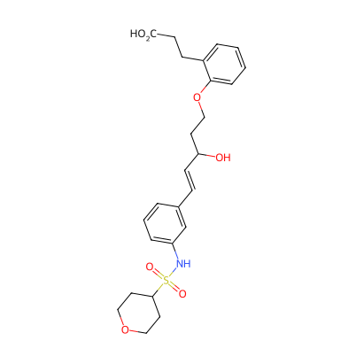 O=C(O)CCc1ccccc1OCCC(O)/C=C/c1cccc(NS(=O)(=O)C2CCOCC2)c1